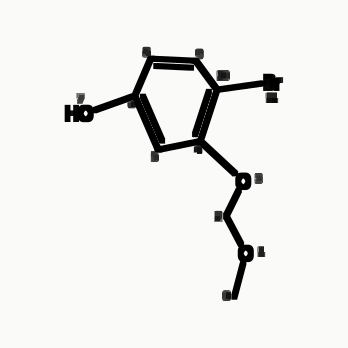 COCOc1cc(O)ccc1Br